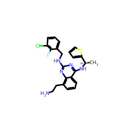 C[C@@H](Nc1nc(NCc2cccc(Cl)c2F)nc2c(CCN)cccc12)c1cccs1